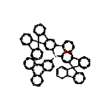 C1=CCC2C(=C1)C1(c3ccccc3-c3ccc(N(c4ccc5c6ccccc6c6ccccc6c5c4)c4cc5c(cc4-c4ccccc4)-c4ccccc4C54c5ccccc5-c5ccccc54)cc31)c1ccccc12